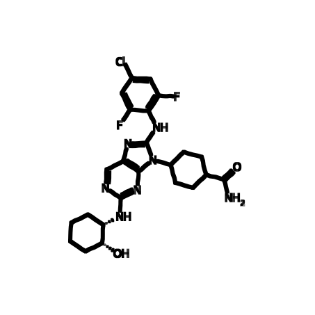 NC(=O)C1CCC(n2c(Nc3c(F)cc(Cl)cc3F)nc3cnc(N[C@H]4CCCC[C@H]4O)nc32)CC1